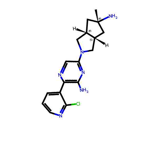 C[C@]1(N)C[C@H]2CN(c3cnc(-c4cccnc4Cl)c(N)n3)C[C@H]2C1